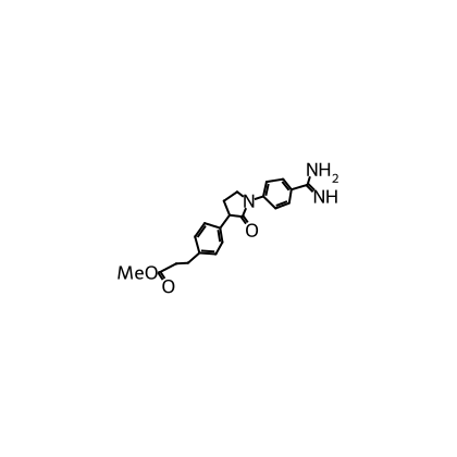 COC(=O)CCc1ccc(C2CCN(c3ccc(C(=N)N)cc3)C2=O)cc1